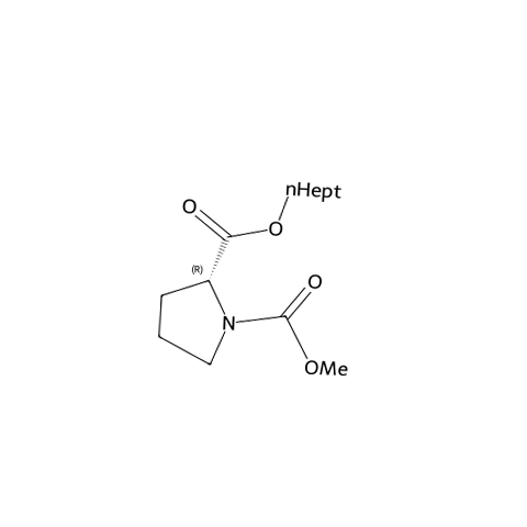 CCCCCCCOC(=O)[C@H]1CCCN1C(=O)OC